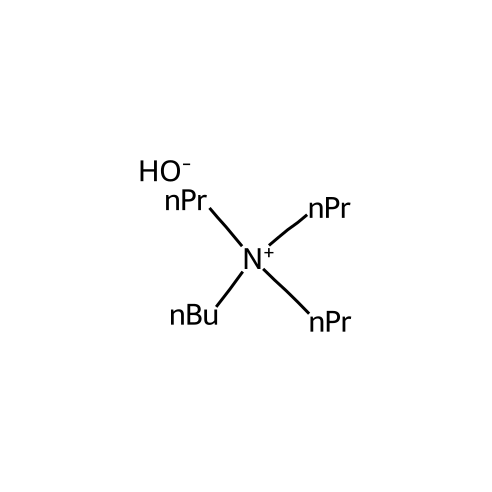 CCCC[N+](CCC)(CCC)CCC.[OH-]